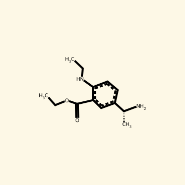 CCNc1ccc([C@@H](C)N)cc1C(=O)OCC